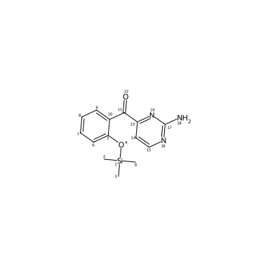 C[Si](C)(C)Oc1ccccc1C(=O)c1ccnc(N)n1